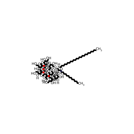 CCCCCCCCCCCCC/C=C/[C@@H](O)[C@H](CO[C@@H]1OC(CO)[C@@H](O[C@@H]2OC(CO)[C@H](O)[C@H](O[C@@H]3OC(CO)[C@@H](O)[C@H](O[C@@H]4OC(CO)[C@H](O)[C@H](O[C@@H]5OC(CO)[C@@H](O[C@@H]6OC(CO)[C@H](O)[C@H](O)C6O[C@H]6OC(C)[C@@H](O)C(O)[C@@H]6O)[C@H](O[C@H]6OC(C)[C@@H](O)C(O)[C@@H]6O)C5NC(C)=O)C4O)C3NC(C)=O)C2O)[C@H](O)C1O)NC(=O)CCCCCCCCCCCCCCCCCCCCCCCCC